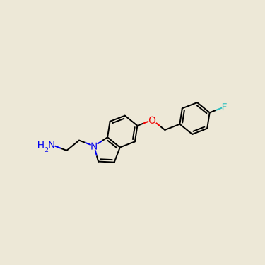 NCCn1ccc2cc(OCc3ccc(F)cc3)ccc21